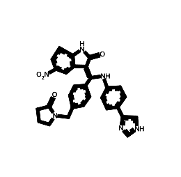 O=C1Nc2ccc([N+](=O)[O-])cc2/C1=C(/Nc1ccc(-c2c[nH]cn2)cc1)c1ccc(CN2CCCC2=O)cc1